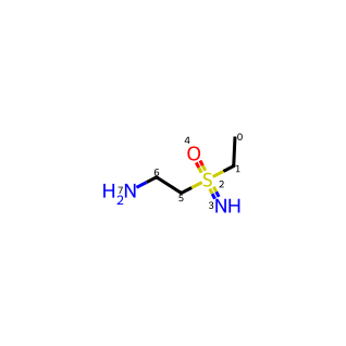 CCS(=N)(=O)CCN